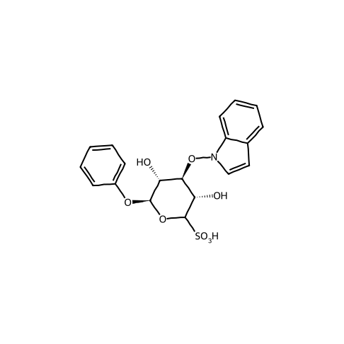 O=S(=O)(O)C1O[C@@H](Oc2ccccc2)[C@H](O)[C@@H](On2ccc3ccccc32)[C@@H]1O